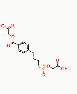 O=C(O)COC(=O)c1ccc(CCCC[PH](=O)OCC(=O)O)cc1